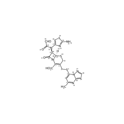 Cc1cc(SCC2=C(C(=O)O)N3C(=O)[C@@H](N(C(=O)C=O)c4csc(N)n4)[C@H]3SC2)n2nccc2n1